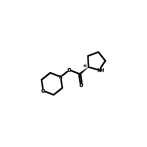 O=C(ON1CCOCC1)[C@@H]1CCCN1